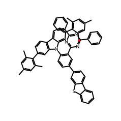 Cc1cc(C)c(-c2ccc3c4ccc(-c5c(C)cc(C)cc5C)cc4n(-c4ccc(-c5ccc6c(c5)sc5ccccc56)cc4-c4nc(-c5ccccc5)nc(-c5ccccc5)n4)c3c2)c(C)c1